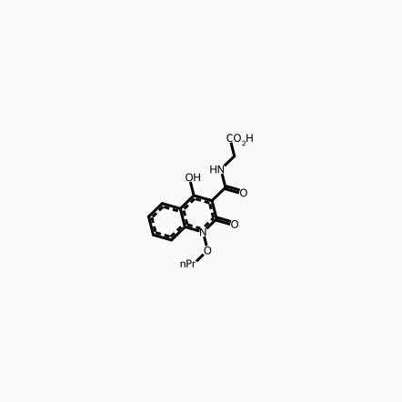 CCCOn1c(=O)c(C(=O)NCC(=O)O)c(O)c2ccccc21